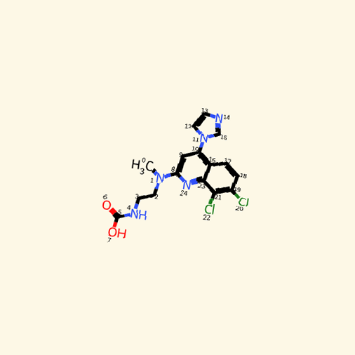 CN(CCNC(=O)O)c1cc(-n2ccnc2)c2ccc(Cl)c(Cl)c2n1